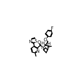 Cc1ccc(-c2nccs2)c(C(=O)N2C3CC(C3)[C@H](C)[C@H]2COc2ccc(F)cc2)n1